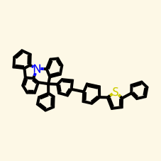 c1ccc(-c2ccc(-c3ccc(-c4ccc(C5(c6ccccc6)c6ccccc6-n6c7ccccc7c7cccc5c76)cc4)cc3)s2)cc1